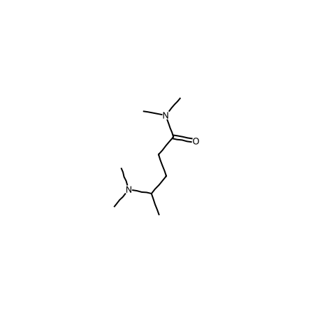 CC(CCC(=O)N(C)C)N(C)C